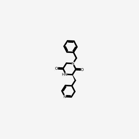 O=C1CN(Cc2ccccc2)C(=O)[C@@H](CC2C=CN=CC2)N1